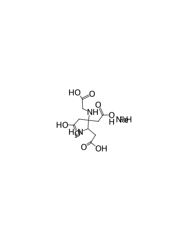 NC(CC(=O)O)C(CC(=O)O)(CC(=O)O)NCC(=O)O.[Fe].[NaH]